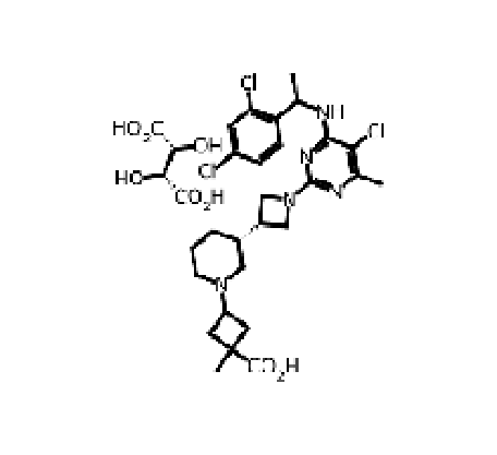 Cc1nc(N2CC([C@H]3CCCN(C4CC(C)(C(=O)O)C4)C3)C2)nc(N[C@H](C)c2ccc(Cl)cc2Cl)c1Cl.O=C(O)[C@H](O)[C@@H](O)C(=O)O